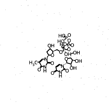 Cc1cn([C@H]2C[C@H](O)[C@@H](COP(=O)(O)OP(=O)(O)OP(=O)(O)O)O2)c(=O)[nH]c1=O.O=c1ccn([C@@H]2O[C@H](CO)[C@@H](O)[C@H]2O)c(=O)[nH]1